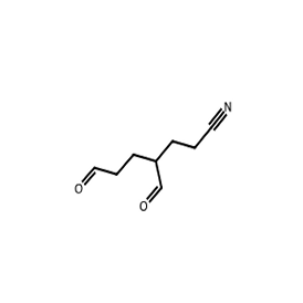 N#CCCC(C=O)CCC=O